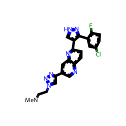 CNCCn1cc(-c2cnc3ccc(-c4c[nH]nc4-c4cc(Cl)ccc4F)nc3c2)nn1